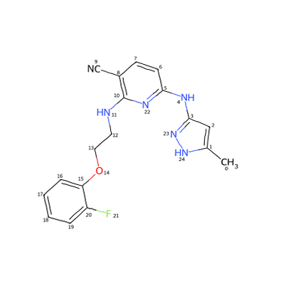 Cc1cc(Nc2ccc(C#N)c(NCCOc3ccccc3F)n2)n[nH]1